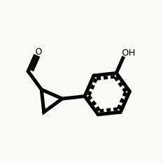 O=CC1CC1c1cccc(O)c1